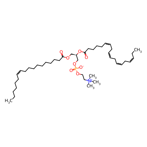 CC/C=C\C/C=C\C/C=C\C/C=C\CCCCC(=O)O[C@H](COC(=O)CCCCCCCCC/C=C\CCCCCC)COP(=O)([O-])OCC[N+](C)(C)C